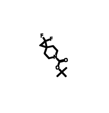 CC(C)(C)OC(=O)N1CCC2(CC1)CC2(F)F